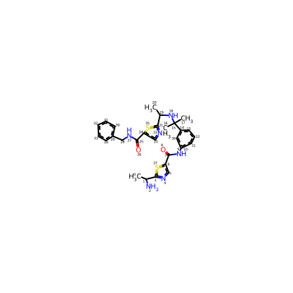 CC(N)c1ncc(C(=O)Nc2cccc(C(C)(C)NC(C)c3ncc(C(=O)NCc4ccccc4)s3)c2)s1